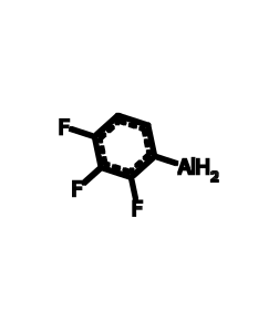 Fc1cc[c]([AlH2])c(F)c1F